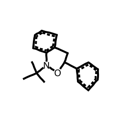 CC(C)(C)N1OC(c2ccccc2)Cc2ccccc21